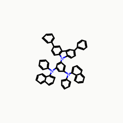 c1ccc(-c2ccc3c(c2)c2cc(-c4ccccc4)ccc2n3-c2cc(N(c3ccccc3)c3cccc4ccccc34)cc(N(c3ccccc3)c3cccc4ccccc34)c2)cc1